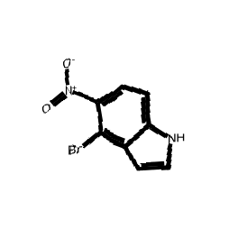 O=[N+]([O-])c1ccc2[nH]ccc2c1Br